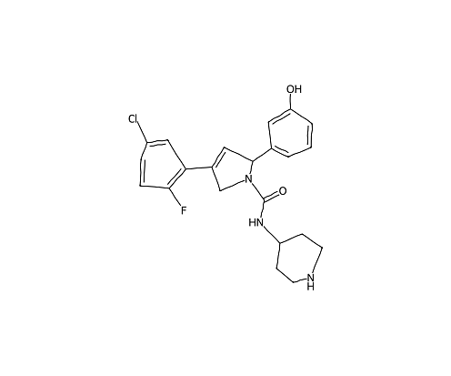 O=C(NC1CCNCC1)N1CC(c2cc(Cl)ccc2F)=CC1c1cccc(O)c1